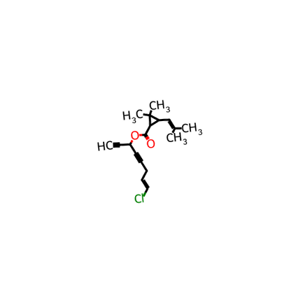 C#CC(C#CCC=CCl)OC(=O)C1C(C=C(C)C)C1(C)C